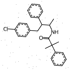 CC(NC(=O)C(C)(C)c1ccccc1)C(Cc1ccc(Cl)cc1)c1ccccc1